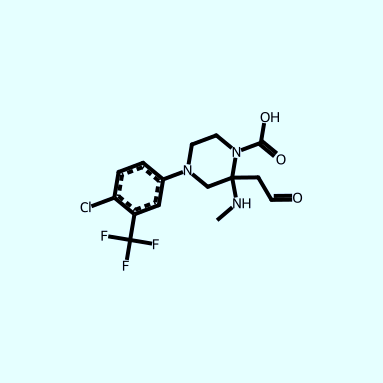 CNC1(CC=O)CN(c2ccc(Cl)c(C(F)(F)F)c2)CCN1C(=O)O